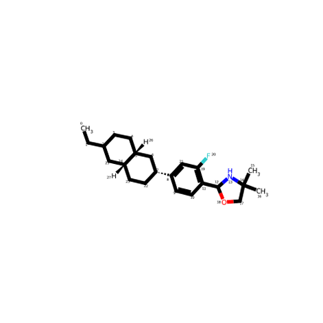 CCC1CC[C@@H]2C[C@H](c3ccc(C4NC(C)(C)CO4)c(F)c3)CC[C@@H]2C1